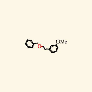 COc1cccc(CCOCc2ccccc2)c1